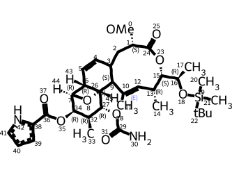 CO[C@H]1CC2C=C[C@H]3[C@H]4O[C@]2(/C(C)=C/[C@@H](C)[C@@H]([C@@H](C)O[Si](C)(C)C(C)(C)C)OC1=O)[C@@H]3[C@H](OC(N)=O)[C@@H](C)[C@H]4OC(=O)c1ccc[nH]1